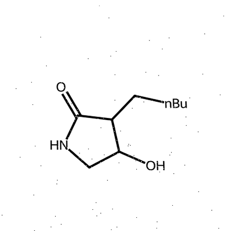 CCCCCC1C(=O)NCC1O